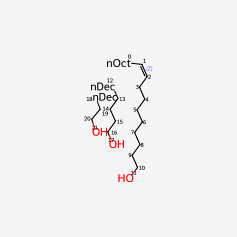 CCCCCCCC/C=C\CCCCCCCCO.CCCCCCCCCCCCCCO.CCCCCCCCCCCCO